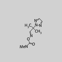 CNC(=O)ON=CC(C)(C)n1nccn1